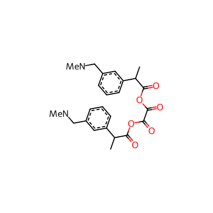 CNCc1cccc(C(C)C(=O)OC(=O)C(=O)OC(=O)C(C)c2cccc(CNC)c2)c1